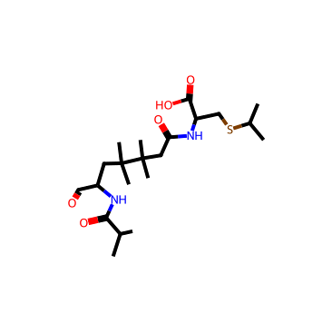 CC(C)SCC(NC(=O)CC(C)(C)C(C)(C)CC(C=O)NC(=O)C(C)C)C(=O)O